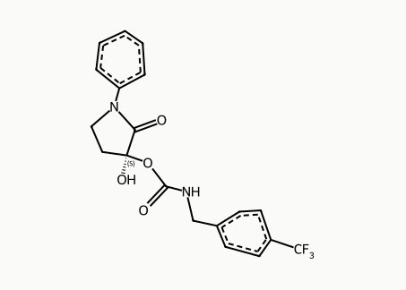 O=C(NCc1ccc(C(F)(F)F)cc1)O[C@@]1(O)CCN(c2ccccc2)C1=O